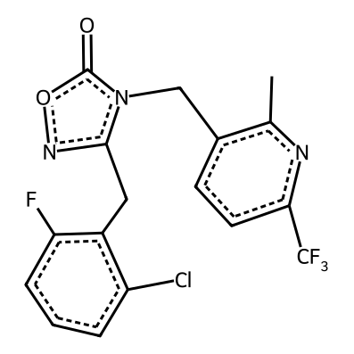 Cc1nc(C(F)(F)F)ccc1Cn1c(Cc2c(F)cccc2Cl)noc1=O